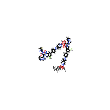 CC(C)(C)OC(=O)N1CCC2(CC1)CN(c1ccc(-c3cc(F)c4c(c3)C(=O)N(C(C(=O)OC(=O)N3CCC5(CC3)CN(c3ccc(-c6cc(F)c7c(c6)C(=O)N(C(C(=O)Nc6nccs6)c6ncn8c6CCC8)C7)cc3)C5)c3ncn5c3CCC5)C4)cc1)C2